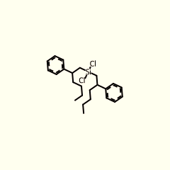 CCCCC(C[Si](Cl)(Cl)CC(CCCC)c1ccccc1)c1ccccc1